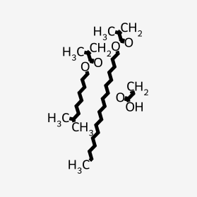 C=C(C)C(=O)OCCCCCCCC(C)C.C=C(C)C(=O)OCCCCCCCCCCCCCCCCCC.C=CC(=O)O